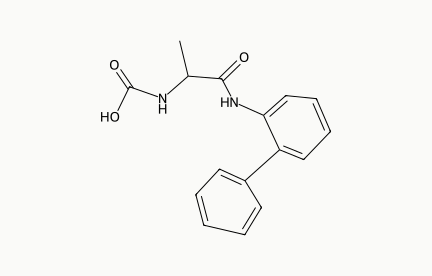 CC(NC(=O)O)C(=O)Nc1ccccc1-c1ccccc1